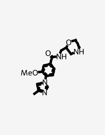 COc1cc(C(=O)NCC2CNCCO2)ccc1-n1cnc(C)c1